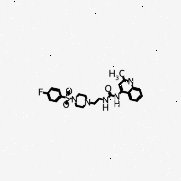 Cc1cc(NC(=O)NCCN2CCN(S(=O)(=O)c3ccc(F)cc3)CC2)c2ccccc2n1